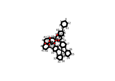 c1ccc(-c2ccc(N(c3ccccc3)c3ccc4c(c3)C3(c5ccccc5-4)c4ccccc4-c4cc(-c5ccccc5)c(N(c5ccccc5)c5ccccc5)cc43)cc2)cc1